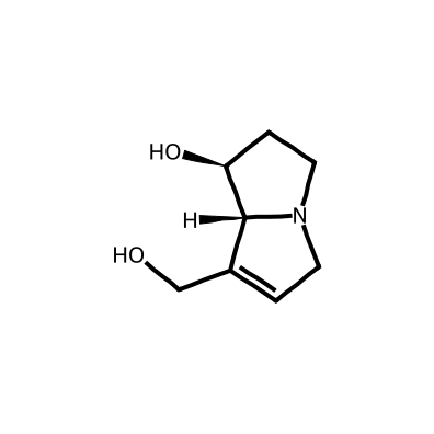 OCC1=CCN2CC[C@H](O)[C@@H]12